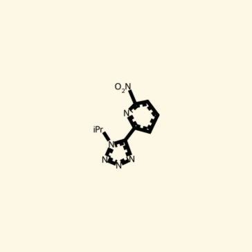 CC(C)n1nnnc1-c1cccc([N+](=O)[O-])n1